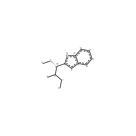 CCC(C)[C@H](CC)c1cc2ccccc2o1